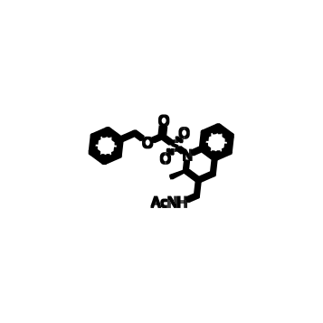 CC(=O)NCC1Cc2ccccc2N(S(=O)(=O)C(=O)OCc2ccccc2)[C@@H]1C